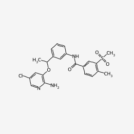 Cc1ccc(C(=O)Nc2cccc(C(C)Oc3cc(Cl)cnc3N)c2)cc1S(C)(=O)=O